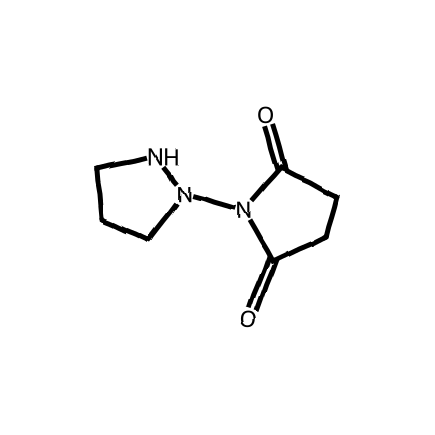 O=C1CCC(=O)N1N1CCCN1